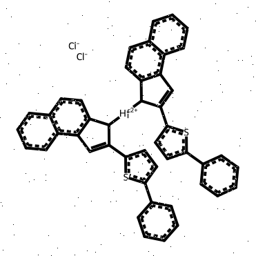 C1=C(c2ccc(-c3ccccc3)s2)[CH]([Hf+2][CH]2C(c3ccc(-c4ccccc4)s3)=Cc3c2ccc2ccccc32)c2ccc3ccccc3c21.[Cl-].[Cl-]